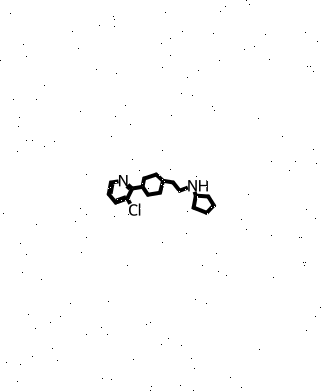 Clc1cccnc1C1CCC(CCNC2CCCC2)CC1